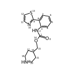 O=C(Nc1ccccc1-c1nccs1)OCC1CCNCC1